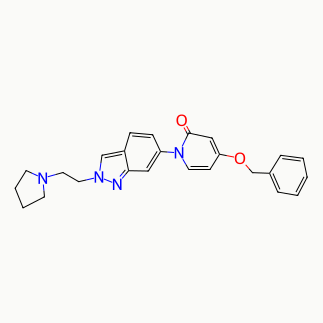 O=c1cc(OCc2ccccc2)ccn1-c1ccc2cn(CCN3CCCC3)nc2c1